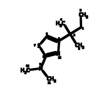 CCC(C)(C)c1csc(N(C)C)n1